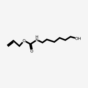 C=CCOC(=O)NCCCCCCO